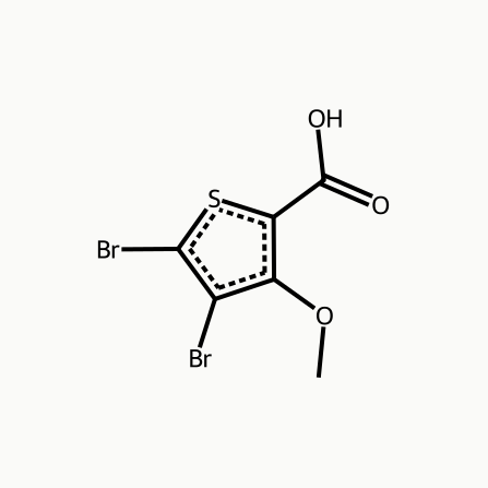 COc1c(C(=O)O)sc(Br)c1Br